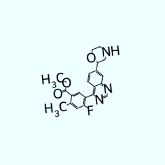 COC(=O)c1cc(-c2ncnc3cc(C4CNCCO4)ccc23)c(F)cc1C